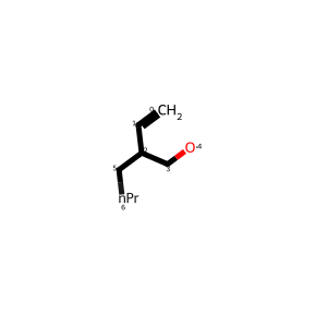 C=CC(C[O])CCCC